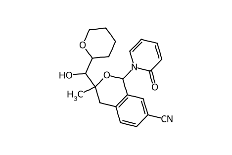 CC1(C(O)C2CCCCO2)Cc2ccc(C#N)cc2C(n2ccccc2=O)O1